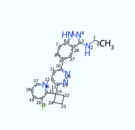 CCNc1n[nH]c2ccc(-c3ccc(C4(c5ncccc5F)CCC4)nn3)cc12